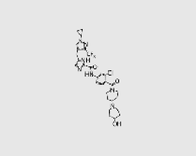 O=C(Nc1ccc(C(=O)N2CCC(N3CCC(O)CC3)CC2)c(Cl)c1)c1ncc(Cc2cn(C3CC3)nc2C(F)(F)F)[nH]1